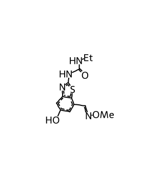 CCNC(=O)Nc1nc2cc(O)cc(C=NOC)c2s1